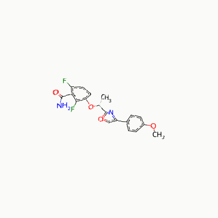 COc1ccc(-c2coc([C@@H](C)Oc3ccc(F)c(C(N)=O)c3F)n2)cc1